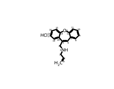 C=CCNCC1=Cc2ccccc2Oc2ccccc21.Cl